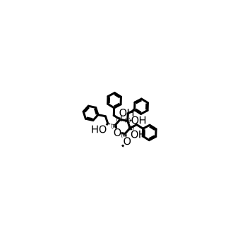 CO[C@@H]1O[C@H](C(O)Cc2ccccc2)[C@@](O)(Cc2ccccc2)[C@@](O)(Cc2ccccc2)[C@]1(O)Cc1ccccc1